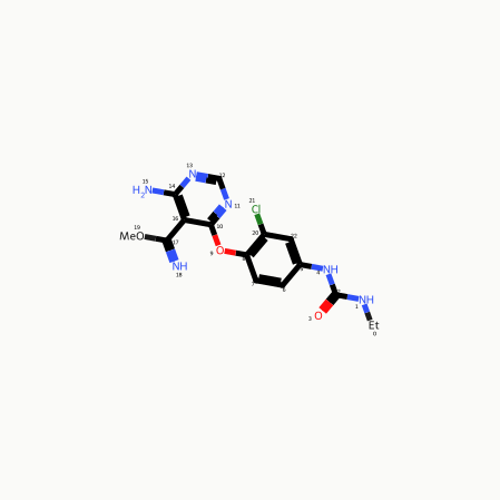 CCNC(=O)Nc1ccc(Oc2ncnc(N)c2C(=N)OC)c(Cl)c1